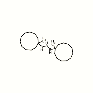 CC1(BBBC2(C)CCCCCCCCCC2)CCCCCCCCCC1